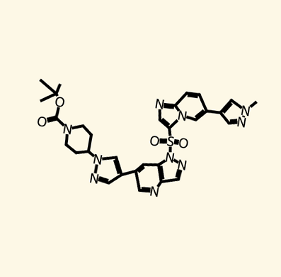 Cn1cc(-c2ccc3ncc(S(=O)(=O)n4ncc5ncc(-c6cnn(C7CCN(C(=O)OC(C)(C)C)CC7)c6)cc54)n3c2)cn1